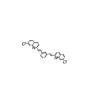 Clc1ccc2ccc(/C=C/c3cccc(/C=C/c4ccc5ccc(Cl)cc5n4)c3)nc2c1